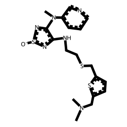 CN(C)Cc1ccc(CSCCNc2n[s+]([O-])nc2N(C)c2cccnc2)s1